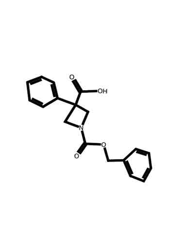 O=C(OCc1ccccc1)N1CC(C(=O)O)(c2ccccc2)C1